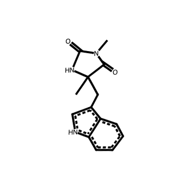 CN1C(=O)NC(C)(Cc2c[nH]c3ccccc23)C1=O